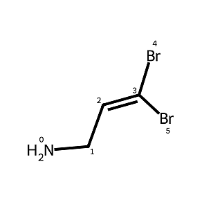 NCC=C(Br)Br